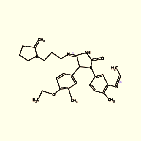 C=C1CCCN1CCC/N=C1/NC(=O)N(c2ccc(C)c(/N=C\C)c2)C1c1ccc(OCC)c(C)c1